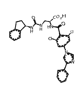 O=C(NC[C@H](NC(=O)c1c(Cl)cc(-n2cnc(-c3ccccc3)c2)cc1Cl)C(=O)O)N[C@@H]1CCc2ccccc21